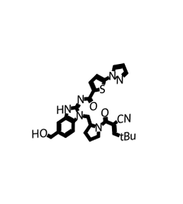 CC(C)(C)C=C(C#N)C(=O)N1CCCC1Cn1c(=NC(=O)c2ccc(-n3cccn3)s2)[nH]c2cc(CO)ccc21